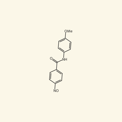 COc1ccc(NC(=O)c2ccc(N=O)cc2)cc1